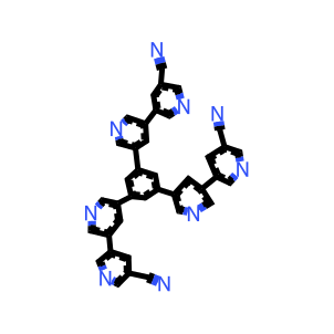 N#Cc1cncc(-c2cncc(-c3cc(-c4cncc(-c5cncc(C#N)c5)c4)cc(-c4cncc(-c5cncc(C#N)c5)c4)c3)c2)c1